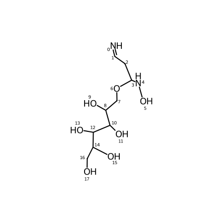 N=CCC(NO)OCC(O)C(O)C(O)C(O)CO